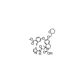 COC(=O)c1ccc(Oc2cc3c(cc2OCC2CCCCO2)CCN(C(=O)O)[C@]3(C)CC(=O)Nc2nccs2)cc1F